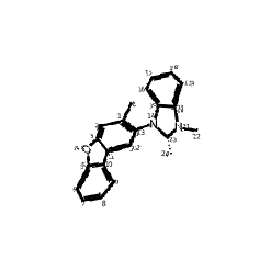 Cc1cc2oc3ccccc3c2cc1N1c2ccccc2N(C)[C@@H]1C